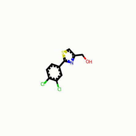 O[CH]c1csc(-c2ccc(Cl)c(Cl)c2)n1